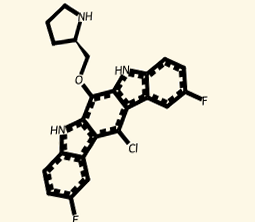 Fc1ccc2[nH]c3c(OC[C@H]4CCCN4)c4[nH]c5ccc(F)cc5c4c(Cl)c3c2c1